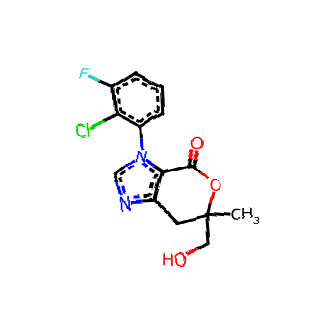 CC1(CO)Cc2ncn(-c3cccc(F)c3Cl)c2C(=O)O1